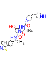 Cc1ncsc1-c1ccc(C(C)NC(=O)[C@@H]2C[C@@H](O)CN2C(=O)C(NC(=O)CN2CCC(CC3CCNCC3)CC2)C(C)(C)C)cc1